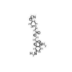 N#COc1ccc(/C=C/C(=O)OCCC(=O)Oc2cc(N)ccc2N)cc1